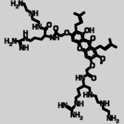 COc1c(OCC(=O)NC(CCCNC(=N)N)CNCCNCCN)cc2oc3cc(OCC(=O)NC(CCCNC(=N)N)C(=O)NCCNCCN)c(CC=C(C)C)c(O)c3c(=O)c2c1CC=C(C)C